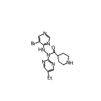 CCc1cnc(N(Nc2ncncc2Br)C(=O)C2CCNCC2)nc1